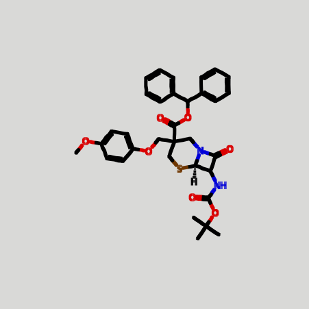 COc1ccc(OCC2(C(=O)OC(c3ccccc3)c3ccccc3)CS[C@@H]3C(NC(=O)OC(C)(C)C)C(=O)N3C2)cc1